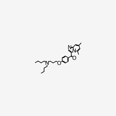 CCCCN(CCCC)CCCOc1ccc(C(=O)c2cnc3cc(C)cc(C)n23)cc1